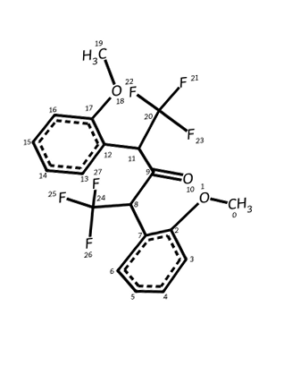 COc1ccccc1C(C(=O)C(c1ccccc1OC)C(F)(F)F)C(F)(F)F